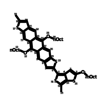 CCCCCCCCOc1cc2c(-c3cc4cc5c(OCCCCCCCC)c6cc7sc(C)cc7cc6c(OCCCCCCCC)c5cc4s3)sc(C)c2s1